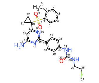 Cc1ccccc1S(=O)(=O)C1(c2cc(N)nc(-c3ccc(NC(=O)NCCF)cc3)n2)CC1